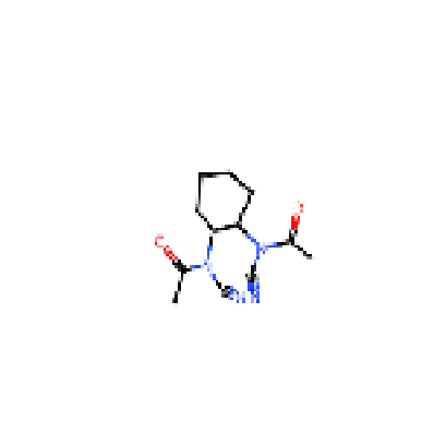 CC(=O)N(C#N)C1CCCCC1N(C#N)C(C)=O